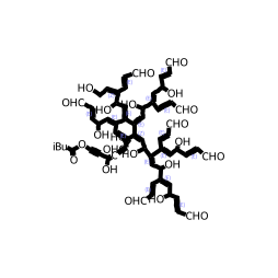 CCC(C)C(=O)OC#CC(O)=C=CC(O)C(=C\C(O)C(=C/C(O)C(/C=C/C=O)=C/C(O)/C=C/C=O)/C(/C=C/C=O)=C/C(O)/C=C/C=O)/C(=C/C(O)C(/C=C/C=O)=C/C(O)/C=C/C=O)C(=C/C(O)C(=C\CO)/C=C/C=O)/C(/C=C/C=O)=C/C(O)/C=C/C=O